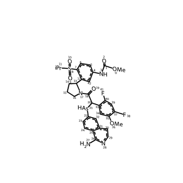 COC(=O)Nc1ccc(S(=O)(=O)C(C)C)c(C2CCCN2C(=O)C([AsH]c2ccc3c(N)nccc3c2)c2cc(OC)c(F)cc2F)c1